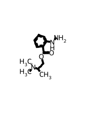 CC(COC(=O)c1ccccc1NN)N(C)C